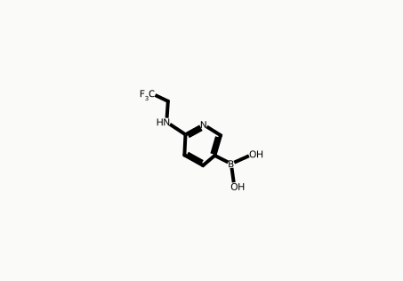 OB(O)c1ccc(NCC(F)(F)F)nc1